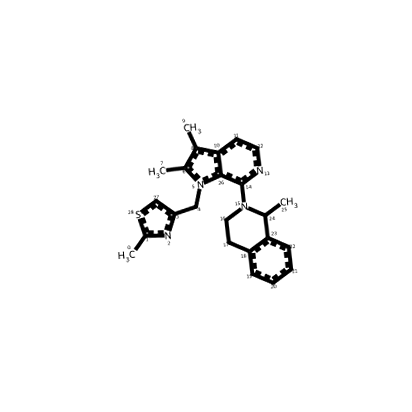 Cc1nc(Cn2c(C)c(C)c3ccnc(N4CCc5ccccc5C4C)c32)cs1